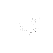 Cc1ccc(NC(=O)Nc2cccc(C(F)(F)F)c2)cc1S(=O)(=O)Nc1ccc2cc[nH]c2c1